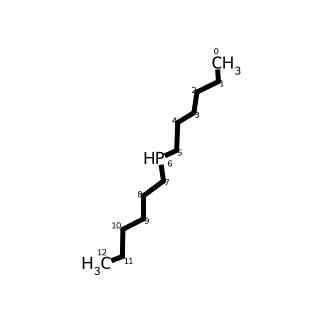 CCCCCCPCCCCCC